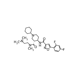 CN(C)CCN(C)C(=O)[C@@H]1CN(C2CCCCC2)CC[C@H]1NC(=O)c1cc(-c2ccc(F)cc2F)on1